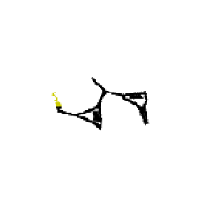 C=C1C=C1C(C)C1=CC1C=S